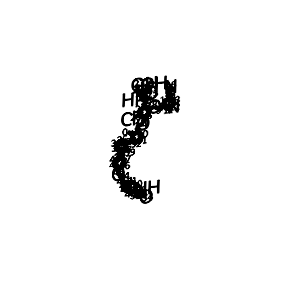 Cc1c(COc2cc(OCc3cncc(C#N)c3)c(CNC(CO)C(=O)O)cc2Cl)cccc1-c1cccc(-c2ccc(OCCN3CCC4(CC3)CC(=O)N4)cc2)c1C